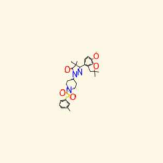 COc1ccc(C2=NN(C3CCN(S(=O)(=O)c4cccc(C)c4)CC3)C(=O)C2(C)C)c2c1OC(C)(C)C2